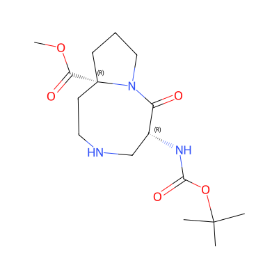 COC(=O)[C@]12CCCN1C(=O)[C@H](NC(=O)OC(C)(C)C)CNCC2